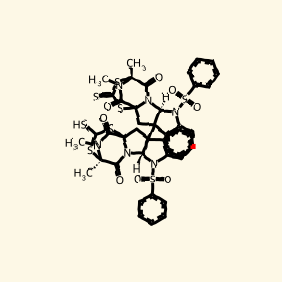 CN1C(=O)C23CC4(C56CC78SC(S)S[C@](C)(C(=O)N7[C@H]5N(S(=O)(=O)c5ccccc5)c5ccccc56)N(C)C8=O)c5ccccc5N(S(=O)(=O)c5ccccc5)[C@@H]4N2C(=O)[C@@]1(C)SC(=S)S3